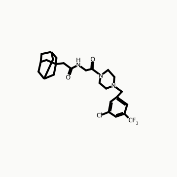 O=C(CC12CC3CC(CC(C3)C1)C2)NCC(=O)N1CCN(Cc2cc(Cl)cc(C(F)(F)F)c2)CC1